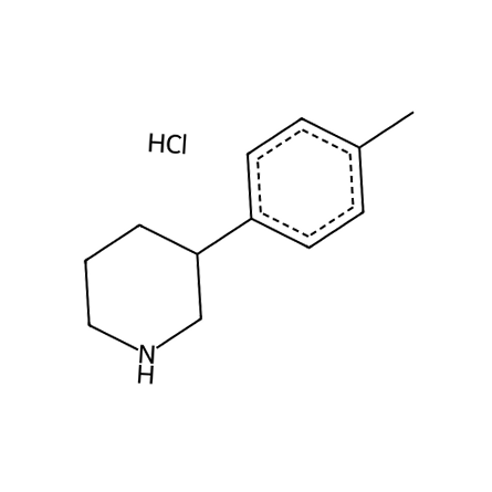 Cc1ccc(C2CCCNC2)cc1.Cl